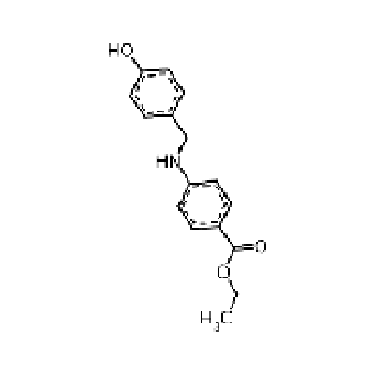 CCOC(=O)c1ccc(NCc2ccc(O)cc2)cc1